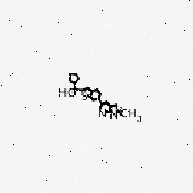 Cn1cc2cc(-c3ccc4cc([C@H](O)C5CCCC5)sc4c3)cnc2n1